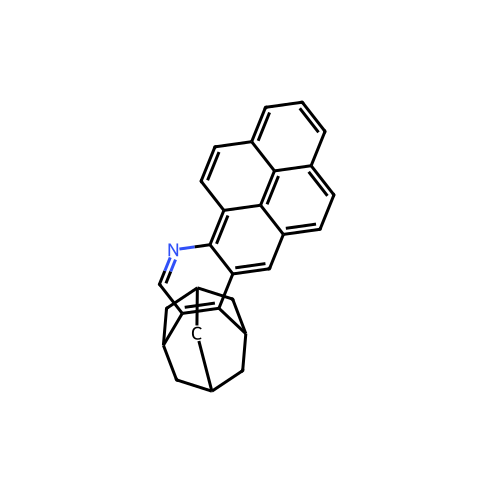 c1cc2ccc3cc4c5c(cnc4c4ccc(c1)c2c34)C1CC2CC(C1)CC5C2